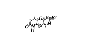 O=C1CCC(Oc2ccnc(Br)c2)C(=O)N1